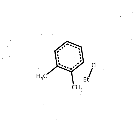 CCCl.Cc1ccccc1C